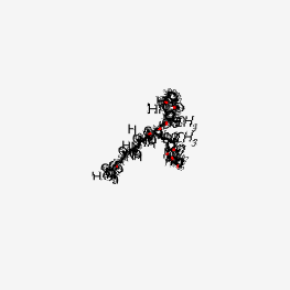 COc1cc2c(cc1OCc1cc(COc3cc4c(cc3OC)C(=O)N3c5ccccc5C[C@H]3CN4)cc(N(C)C(=O)CNC(=O)CNC(=O)CNC(=O)CCCCC(=O)OC3CC(=O)N(O)C3=O)c1)N=C[C@@H]1Cc3ccccc3N1C2=O